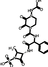 CC1[C@H](NC(=O)C(NC(=O)N2CCN(NC(=O)O)C(=O)C2=O)c2ccccc2)C(=O)N1S(=O)(=O)O